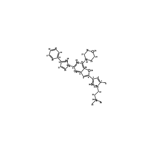 Cc1cc(-c2cc3nc(-n4ccc(-c5ccccc5)n4)nc(N4CCOCC4)c3o2)nn1CCN(C)C